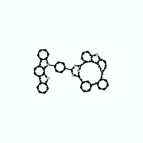 c1cc2cc(c1)c1ccccc1c1ccc3oc4cccc(c5nc(-c6ccc(-n7c8ccccc8c8ccc9c%10ccccc%10oc9c87)cc6)nc2n5)c4c3c1